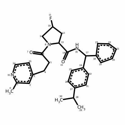 Cc1cc(CCC(=O)N2CC(F)CC2C(=O)NC(c2ccccc2)c2ccc(C(C)C)cc2)ccn1